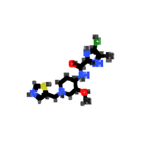 CCOC1CN(Cc2cncs2)CCC1NC(=O)c1nc(Cl)c(CC)[nH]1